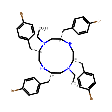 O=C(O)CN1C[C@H](Cc2ccc(Br)cc2)NC[C@H](Cc2ccc(Br)cc2)N(CC(=O)O)C[C@H](Cc2ccc(Br)cc2)NC[C@@H]1Cc1ccc(Br)cc1